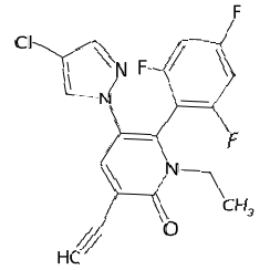 C#Cc1cc(-n2cc(Cl)cn2)c(-c2c(F)cc(F)cc2F)n(CC)c1=O